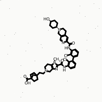 Cn1c(C(=O)Nc2cccc(-c3cccc(NC(=O)c4cc5c(cn4)CN([C@H]4CC[C@H](O)CC4)CC5)c3Cl)c2Cl)nc2c1CCN(CCC13CCC(C(=O)O)(CC1)C3)C2